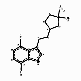 CC1(O)CCN(CCc2c[nH]c3c(F)ccc(F)c23)C1